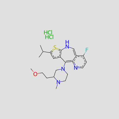 COCCC1CN(C2=c3nccc(F)c3=CNc3sc(C(C)C)cc32)CCN1C.Cl.Cl